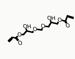 C=CC(=O)OCC(O)COCOCC(O)COC(=O)C=C